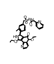 CCOC1NC(c2ccc(CS(=O)(=O)NC(=O)Cc3ccccn3)cc2C)C2=C1c1ncccc1C(OCC)C2=O